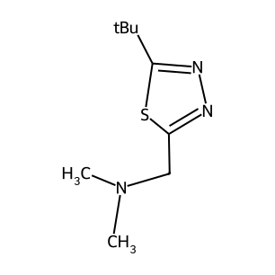 CN(C)Cc1nnc(C(C)(C)C)s1